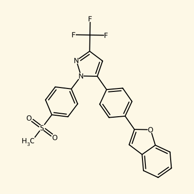 CS(=O)(=O)c1ccc(-n2nc(C(F)(F)F)cc2-c2ccc(-c3cc4ccccc4o3)cc2)cc1